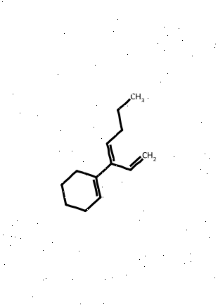 C=CC(=CCCC)C1=[C]CCCC1